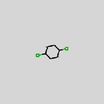 ClC1[CH]CC(Cl)[CH]C1